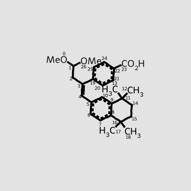 COC(CC(=Cc1ccc2c(c1)C(C)(C)CCC2(C)C)c1ccc(C(=O)O)cc1)OC